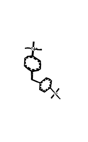 C[N+](C)(C)c1ccc(Cc2ccc([N+](C)(C)C)cc2)cc1